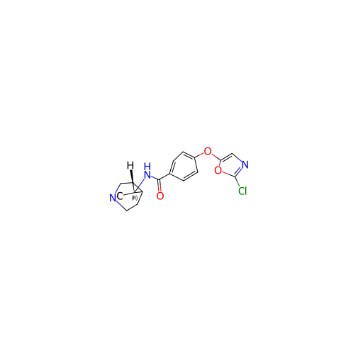 O=C(N[C@H]1CN2CCC1CC2)c1ccc(Oc2cnc(Cl)o2)cc1